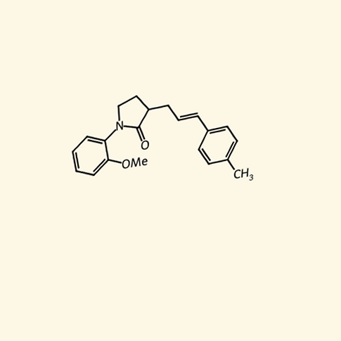 COc1ccccc1N1CCC(CC=Cc2ccc(C)cc2)C1=O